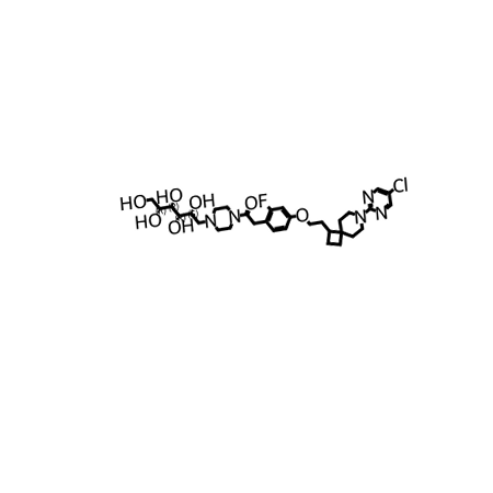 O=C(Cc1ccc(OCCC2CCC23CCN(c2ncc(Cl)cn2)CC3)cc1F)N1CCN(C[C@H](O)[C@@H](O)[C@H](O)[C@H](O)CO)CC1